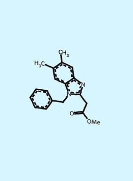 COC(=O)Cc1nc2cc(C)c(C)cc2n1Cc1ccccc1